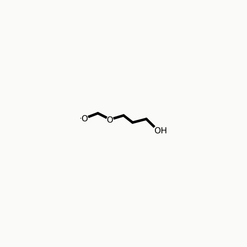 [O]COCCCO